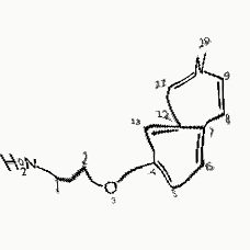 NCCOc1ccc2ccncc2c1